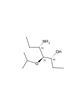 CC[C@@H](O)[C@@H](OC(C)C)[C@@H](N)CC